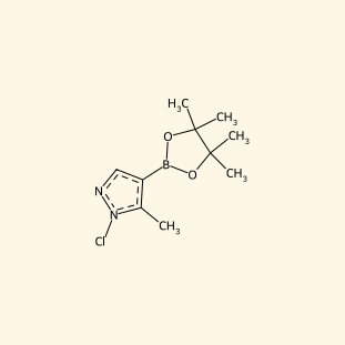 Cc1c(B2OC(C)(C)C(C)(C)O2)cnn1Cl